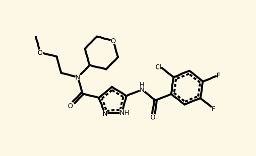 COCCN(C(=O)c1cc(NC(=O)c2cc(F)c(F)cc2Cl)[nH]n1)C1CCOCC1